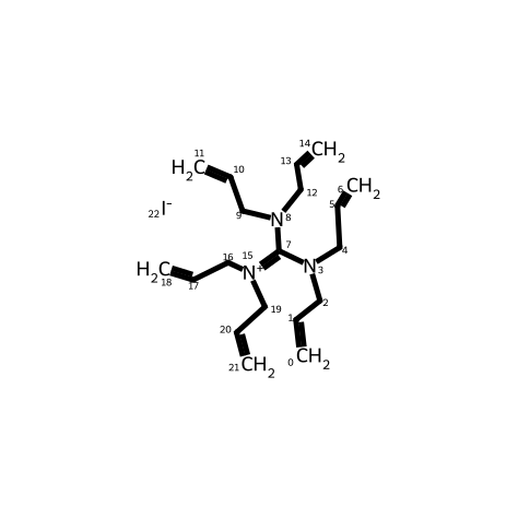 C=CCN(CC=C)C(N(CC=C)CC=C)=[N+](CC=C)CC=C.[I-]